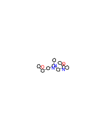 c1ccc(-c2cc(-c3ccc(-c4cccc5c4oc4ccccc45)cc3)nc(-c3cccc(-c4nc5ccccc5c5oc6ccccc6c45)c3)n2)cc1